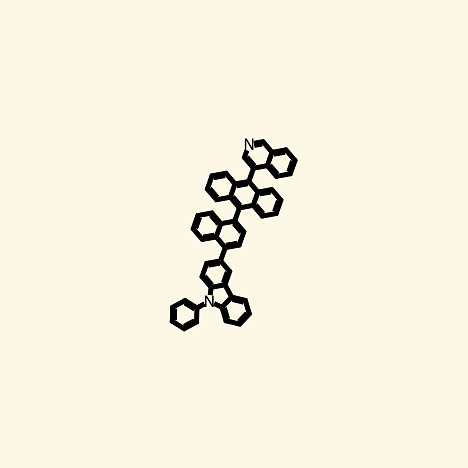 c1ccc(-n2c3ccccc3c3cc(-c4ccc(-c5c6ccccc6c(-c6cncc7ccccc67)c6ccccc56)c5ccccc45)ccc32)cc1